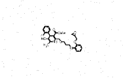 COC(=O)C1=C(COCCCOc2ccccc2OCC2CO2)NC(C)=C(C#N)C1c1ccccc1Cl